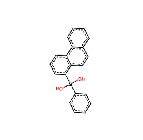 O[Si](O)(c1ccccc1)c1cccc2c1ccc1ccccc12